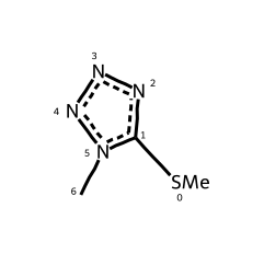 CSc1nnnn1C